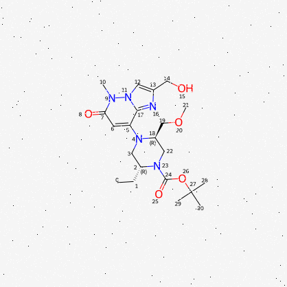 CC[C@@H]1CN(c2cc(=O)n(C)n3cc(CO)nc23)[C@@H](COC)CN1C(=O)OC(C)(C)C